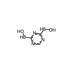 OBc1ncnc(BO)n1